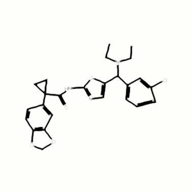 CCN(CC)C(c1cccc(Cl)c1)c1cnc(NC(=O)C2(c3ccc4c(c3)OCO4)CC2)s1